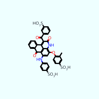 Cc1cc(S(=O)(=O)O)ccc1Oc1cc(Nc2ccc(S(=O)(=O)O)cc2)c2c3c(c(C(=O)c4cccc(S(=O)(=O)O)c4)c(=O)[nH]c13)-c1ccccc1C2=O